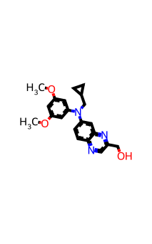 COc1cc(OC)cc(N(CC2CC2)c2ccc3ncc(CO)nc3c2)c1